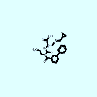 CCCN(C(=O)N[C@@H](CSCC1CC1)C(=O)O)C(=O)c1cccc(-c2ccccc2)c1